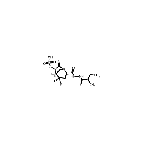 CCC(C)C(=O)NNC(=O)[C@@H]1CC(F)(F)[C@@H]2CN1C(=O)N2OS(=O)(=O)O